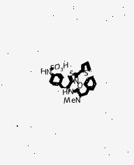 CN[C@@H](Cc1ccccc1)C(=O)N[C@@H](Cc1ccc(NS(=O)(=O)O)cc1)c1csc(-c2cccs2)n1